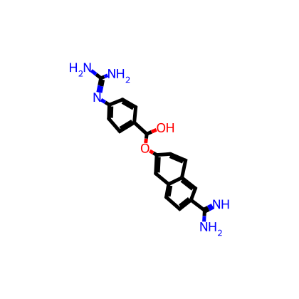 N=C(N)c1ccc2cc(OC(O)c3ccc(N=C(N)N)cc3)ccc2c1